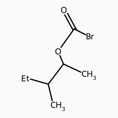 CCC(C)C(C)OC(=O)Br